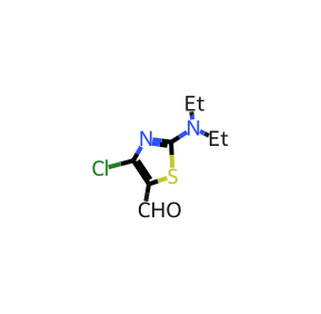 CCN(CC)c1nc(Cl)c(C=O)s1